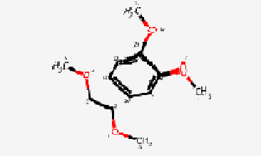 COCCOC.COc1ccccc1OC